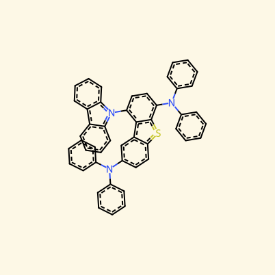 c1ccc(N(c2ccccc2)c2ccc3sc4c(N(c5ccccc5)c5ccccc5)ccc(-n5c6ccccc6c6ccccc65)c4c3c2)cc1